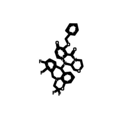 O=C1c2c(OCc3ccccc3)c(=O)ccn2N(C2c3ccc(F)c(F)c3CN3CC(F)(F)Oc4cccc2c43)C2COCCN12